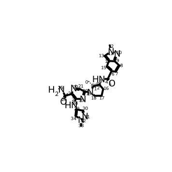 C[C@@H]1[C@H](NC(=O)c2ccc3nn(C)cc3c2)CCCN1c1cnc(C(N)=O)c(Nc2cnn(C)c2)n1